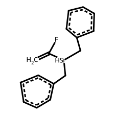 C=C(F)[SiH](Cc1ccccc1)Cc1ccccc1